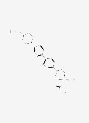 CCCCCCCC1(OC(=O)OC)CCC(c2ccc(-c3ccc([C@H]4CC[C@H](CCCCC)CC4)cc3)cc2)CC1